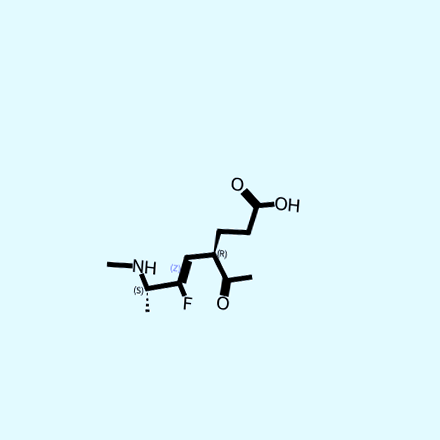 CN[C@@H](C)/C(F)=C/[C@@H](CCC(=O)O)C(C)=O